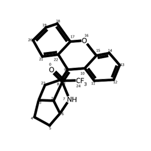 O=C(C1C2CCC1NC(=C1c3ccccc3Oc3ccccc31)C2)C(F)(F)F